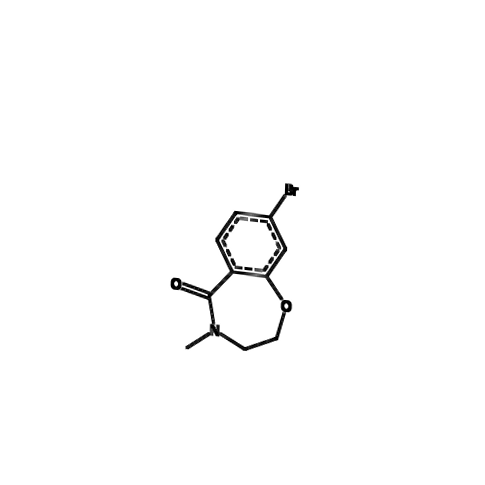 CN1CCOc2cc(Br)ccc2C1=O